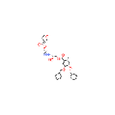 Cc1cc(OCc2ccccc2)c(OCc2ccccc2)cc1C(=O)OCC(O)CNC(C)(C)COC(=O)[C@H]1CCOC1